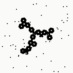 CC1(C)c2cc(N(c3ccccc3)c3ccccc3)ccc2-c2ccc(N(c3ccc(-c4ccc5c6ccccc6c6ccccc6c5c4)cc3)c3ccc(-c4ccc(-c5ccc6sc7ccccc7c6c5)c5ccccc45)cc3)cc21